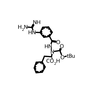 CC(C)(C)OC(=O)N(NC(=O)c1cccc(NC(=N)N)c1)[C@@H](Cc1ccccc1)C(=O)O